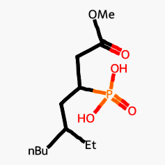 CCCCC(CC)CC(CC(=O)OC)P(=O)(O)O